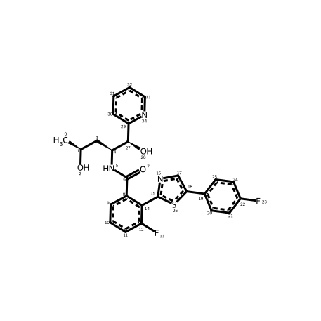 C[C@H](O)C[C@H](NC(=O)c1cccc(F)c1-c1ncc(-c2ccc(F)cc2)s1)[C@H](O)c1ccccn1